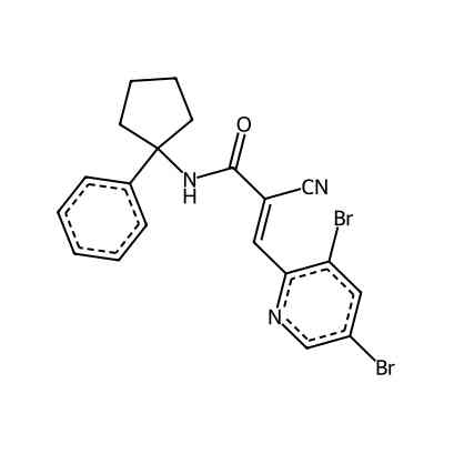 N#CC(=Cc1ncc(Br)cc1Br)C(=O)NC1(c2ccccc2)CCCC1